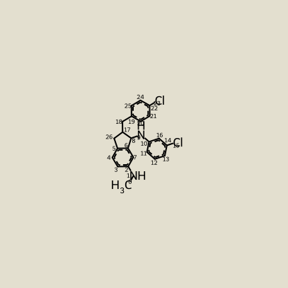 CNc1ccc2c(c1)C(Nc1cccc(Cl)c1)C(Cc1ccc(Cl)cc1)C2